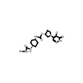 CC(C)NC(=O)N[C@H]1CC[C@H](NC(=O)O[C@@H]2CCN(c3cn[nH]c(=O)c3Cl)C2)CC1